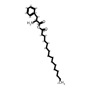 CCCCCCCCCCCCCCCC(=O)OC(=O)C(N)Cc1ccccc1